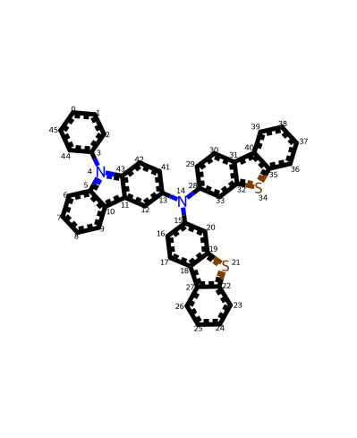 c1ccc(-n2c3ccccc3c3cc(N(c4ccc5c(c4)sc4ccccc45)c4ccc5c(c4)sc4ccccc45)ccc32)cc1